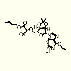 CCCCOC(=O)[C@@H](OC[C@H]1O[C@@H](n2cnc3c(OCC)nc(Cl)nc32)[C@@H]2OC(C)(C)O[C@@H]21)P=O